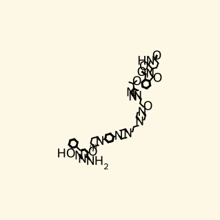 CC(Oc1cccc2c1C(=O)N(C1CCC(=O)NC1=O)C2=O)c1cn(CCC(=O)N2CCN(CCCN3CCN(c4ccc(N5CCC[C@H](Oc6cc(-c7ccccc7O)nnc6N)C5)cc4)CC3)CC2)nn1